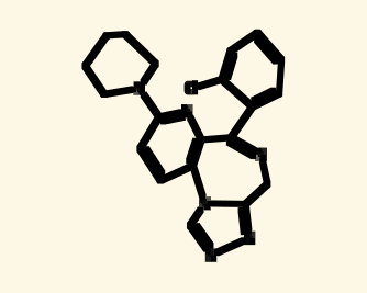 Clc1ccccc1C1=NCc2nncn2-c2ccc(N3CCCCC3)nc21